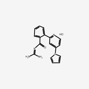 Cl.NC(N)=NC(=O)c1ccccc1-c1cc(-n2cccc2)ccn1